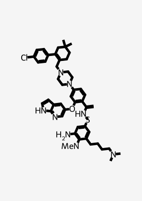 C=C(NSc1cc(N)c(NC)c(CCCCN(C)C)c1)c1ccc(N2CCN(CC3=C(c4ccc(Cl)cc4)CC(C)(C)CC3)CC2)cc1Oc1cnc2[nH]ccc2c1